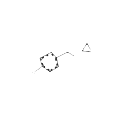 O=[N+]([O-])c1ccc(CC[C@@H]2CO2)cc1